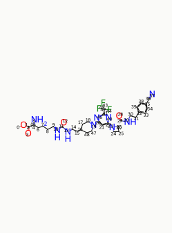 COC(=O)[C@@H](N)CCCCNC(=O)NCCC1CCN(c2cc(N3CC[C@H]3C(=O)NCCc3ccc(C#N)cc3)nc(C(F)(F)F)n2)CC1